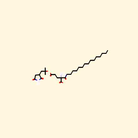 CCCCCCCCCCCCCCCC(=O)[C@@](N)(CCC(=O)OC(C)(C)CC1CC(=O)NC1=O)C(=O)O